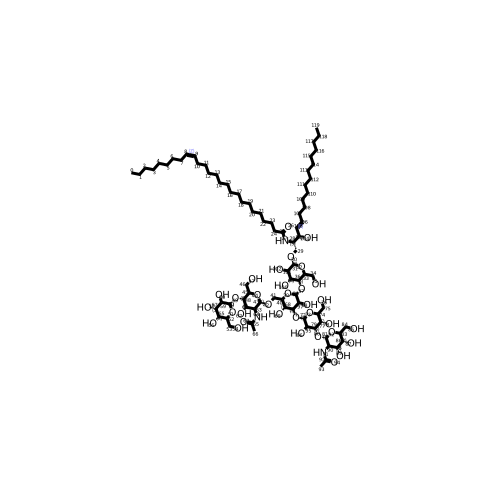 CCCCCCCC/C=C\CCCCCCCCCCCCCCCC(=O)N[C@@H](CO[C@@H]1OC(CO)[C@@H](O[C@@H]2OC(CO[C@@H]3OC(CO)[C@@H](O[C@@H]4OC(CO)[C@H](O)[C@H](O)C4O)[C@H](O)C3NC(C)=O)[C@H](O)[C@H](O[C@H]3OC(CO)[C@H](O)[C@H](O[C@@H]4OC(CO)[C@H](O)[C@H](O)C4NC(C)=O)C3O)C2O)[C@H](O)C1O)[C@H](O)/C=C/CCCCCCCCCCCCC